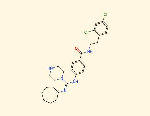 O=C(NCCc1ccc(Cl)cc1Cl)c1ccc(N/C(=N/C2CCCCCC2)N2CCNCC2)cc1